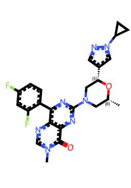 C[C@@H]1CN(c2nc(-c3ccc(F)cc3F)c3ncn(C)c(=O)c3n2)C[C@H](c2cnn(C3CC3)c2)O1